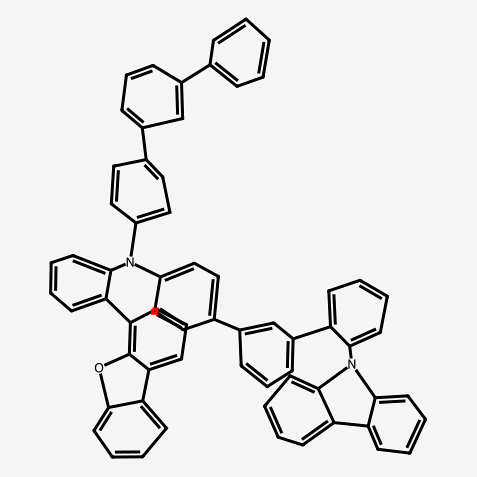 c1ccc(-c2cccc(-c3ccc(N(c4ccc(-c5cccc(-c6ccccc6-n6c7ccccc7c7ccccc76)c5)cc4)c4ccccc4-c4cccc5c4oc4ccccc45)cc3)c2)cc1